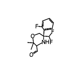 CC1(C)OCC(c2ccccc2F)(C(F)F)NC1C=O